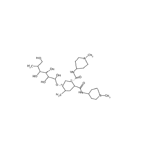 CC(CO)C(O)C(O)C(O)C(O)O[C@@H]1C[C@H](C(=O)NC2CCN(C)CC2)C(C(=O)NC2CCN(C)CC2)CC1C